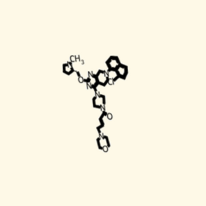 CN1CCC[C@H]1COc1nc2c(c(N3CCN(C(=O)/C=C/CN4CCOCC4)CC3)n1)CCN(c1cccc3cccc(Cl)c13)C2